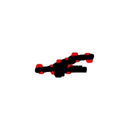 C=CC(=O)OCCCCCCOC(=O)C1CCC(C(=O)Oc2ccc(OC(=O)C3CCC(C(=O)OCCCCCCOC(=O)C=C)CC3)c(/C=N/N(CCOCCOC)c3nc4ccccc4s3)c2)CC1